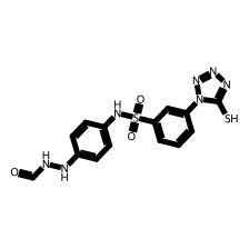 O=CNNc1ccc(NS(=O)(=O)c2cccc(-n3nnnc3S)c2)cc1